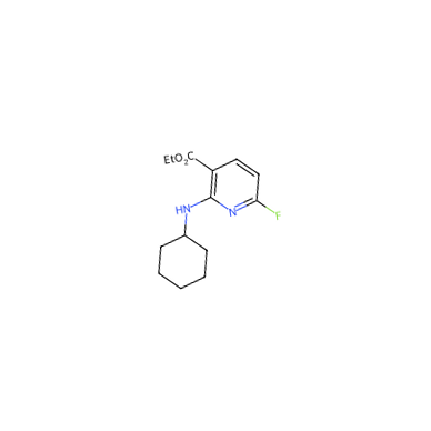 CCOC(=O)c1ccc(F)nc1NC1CCCCC1